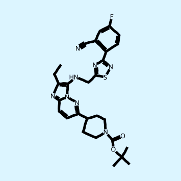 CCc1nc2ccc(C3CCN(C(=O)OC(C)(C)C)CC3)nn2c1NCc1nc(-c2ccc(F)cc2C#N)ns1